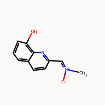 C/[N+]([O-])=C/c1ccc2cccc(O)c2n1